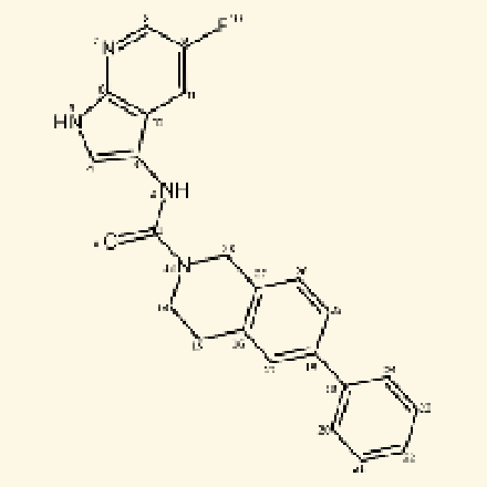 O=C(Nc1c[nH]c2ncc(F)cc12)N1CCc2cc(-c3ccccc3)ccc2C1